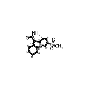 CS(=O)(=O)c1ccc2c(C(N)=O)c3ccccc3n2c1